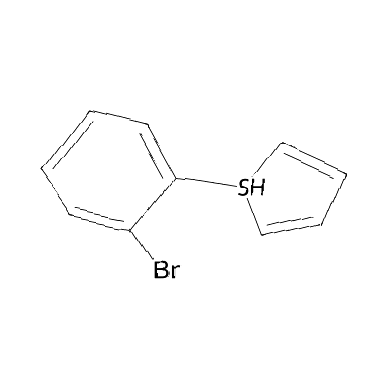 Brc1ccccc1[SH]1C=CC=C1